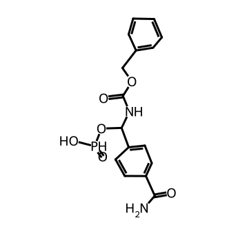 NC(=O)c1ccc(C(NC(=O)OCc2ccccc2)O[PH](=O)O)cc1